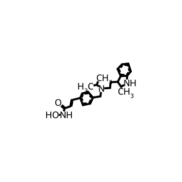 CC1Nc2ccccc2C1CCN(Cc1ccc(/C=C/C(=O)NO)cc1)C(C)C